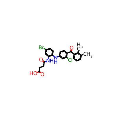 Cc1cccc(C(=O)c2ccc(Nc3ccc(Br)cc3NC(=O)CCC(=O)O)cc2Cl)c1C